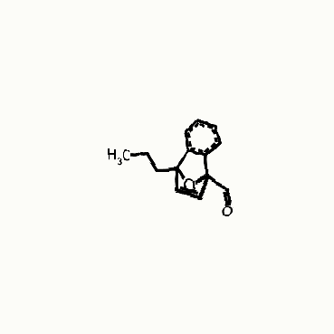 CCCC12C=CC(C=O)(O1)c1ccccc12